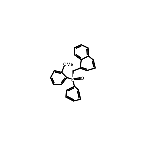 COc1ccccc1[P@@](=O)(Cc1cccc2ccccc12)c1ccccc1